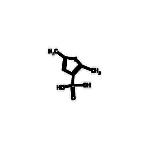 Cc1cc(P(=O)(O)O)c(C)s1